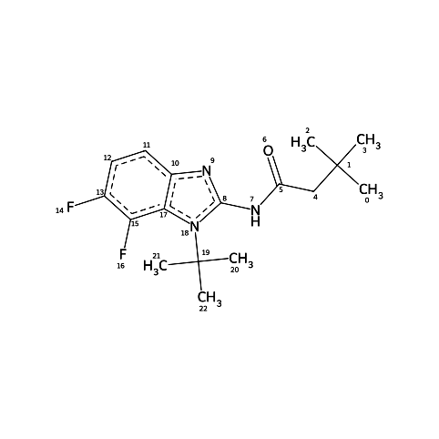 CC(C)(C)CC(=O)Nc1nc2ccc(F)c(F)c2n1C(C)(C)C